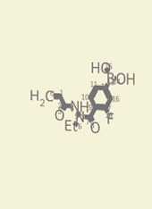 C=CC(=O)NN(CC)C(=O)c1ccc(B(O)O)cc1F